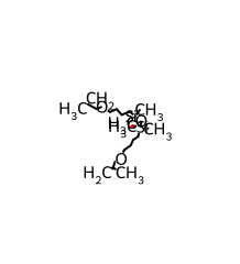 C=C(C)COCCCC[Si](C)(C)O[Si](C)(C)CCCCOCC(=C)C